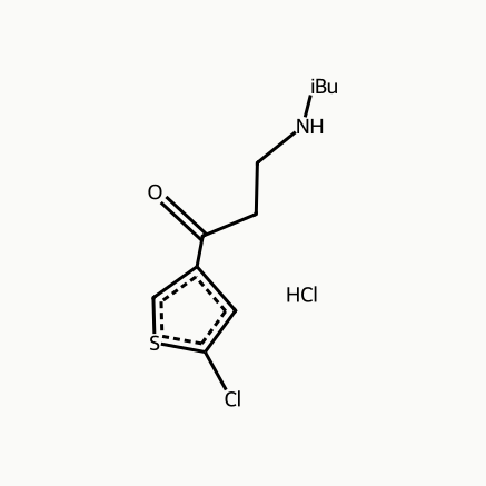 CCC(C)NCCC(=O)c1csc(Cl)c1.Cl